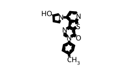 Cc1ccc(-n2cnc3c(sc4nccc(N5CC[C@H](O)C5)c43)c2=O)cc1